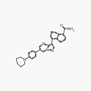 NC(=O)c1cccc2c(-c3cnn4cc(-c5ccc(N6CCCCC6)cc5)cnc34)cccc12